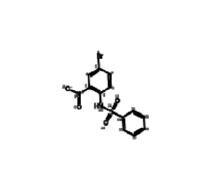 O=[N+]([O-])c1cc(Br)ccc1NS(=O)(=O)c1ccccc1